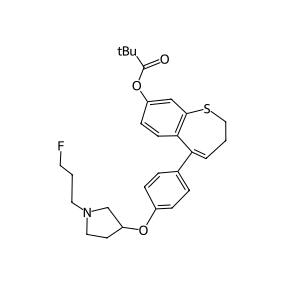 CC(C)(C)C(=O)Oc1ccc2c(c1)SCCC=C2c1ccc(OC2CCN(CCCF)C2)cc1